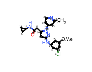 COc1cc(Cl)cc(Nc2cc(CC(=O)NC3CC3)n(-c3ccnc(C)c3)n2)c1